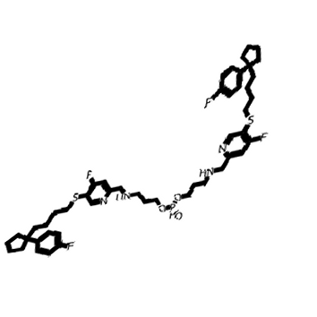 O=[PH](OCCCNCc1cc(F)c(SCCCCC2(c3ccc(F)cc3)CCCC2)cn1)OCCCNCc1cc(F)c(SCCCCC2(c3ccc(F)cc3)CCCC2)cn1